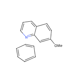 COc1ccc2cccnc2c1.c1ccccc1